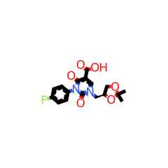 CC1(C)OC[C@H](Cn2cc(C(=O)O)c(=O)n(-c3ccc(F)cc3)c2=O)O1